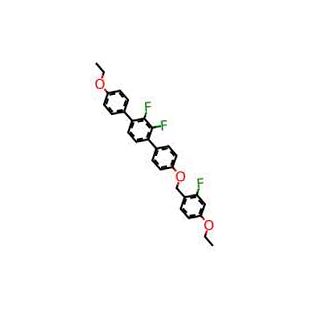 CCOc1ccc(-c2ccc(-c3ccc(OCc4ccc(OCC)cc4F)cc3)c(F)c2F)cc1